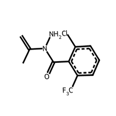 C=C(C)N(N)C(=O)c1c(Cl)cccc1C(F)(F)F